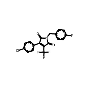 O=C1C(c2ccc(Cl)cc2)=C(C(F)(F)F)C(=O)N1Cc1ccc(F)cc1